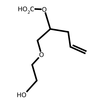 C=CCC(COCCO)OC(=O)O